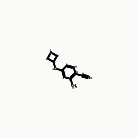 Cc1cc(OC2COC2)cnc1C#N